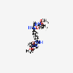 COC(=O)N[C@H](C(=O)N1CCCC1c1nc(-c2ccc(-c3ccc(-c4c[nH]c([C@@H]5CCCN5C(=O)C5(NC(=O)OC)CCCCC5)n4)cc3)cc2)c[nH]1)C(C)C